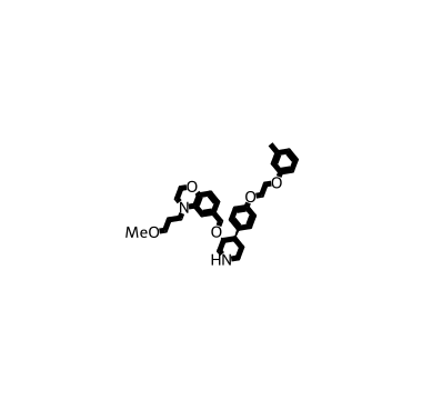 COCCCN1CCOc2ccc(CO[C@H]3CNCC[C@@H]3c3ccc(OCCOc4cccc(C)c4)cc3)cc21